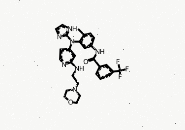 Cc1ccc(NC(=O)c2cccc(C(F)(F)F)c2)cc1N(c1ccnc(NCCN2CCOCC2)c1)c1ncc[nH]1